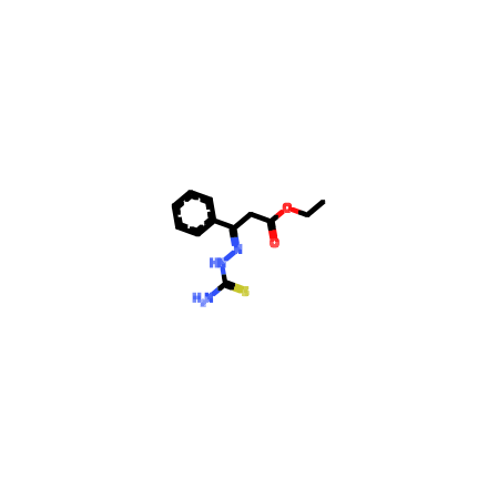 CCOC(=O)C/C(=N/NC(N)=S)c1ccccc1